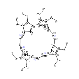 CCC1=C(CC)/C2=C/C=c3\[nH]/c(c(CC)c3CC)=C\C=C3N=C(/C=C\c4[nH]c(c(CC)c4CC)C1=N2)C(CC)=C\3CC